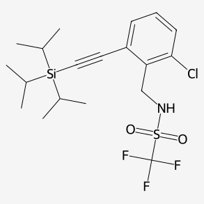 CC(C)[Si](C#Cc1cccc(Cl)c1CNS(=O)(=O)C(F)(F)F)(C(C)C)C(C)C